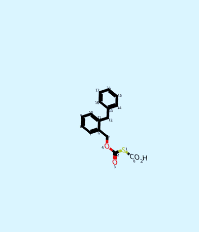 O=C(O)SC(=O)OCc1ccccc1Cc1ccccc1